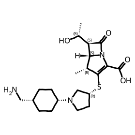 C[C@@H](O)[C@H]1C(=O)N2C(C(=O)O)=C(S[C@@H]3CCN([C@H]4CC[C@@H](CN)CC4)C3)[C@H](C)[C@H]12